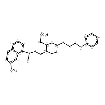 COc1ccc2nccc(C(F)CC[C@@H]3CCN(CCCSc4ccccn4)C[C@@H]3CC(=O)O)c2c1